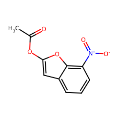 CC(=O)Oc1cc2cccc([N+](=O)[O-])c2o1